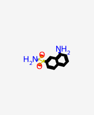 Nc1cccc2ccc(S(N)(=O)=O)cc12